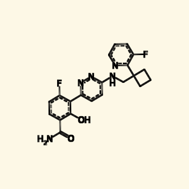 NC(=O)c1ccc(F)c(-c2ccc(NCC3(c4ncccc4F)CCC3)nn2)c1O